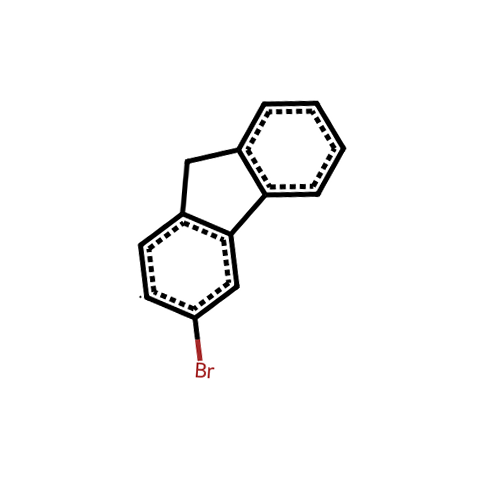 Brc1[c]cc2c(c1)-c1ccccc1C2